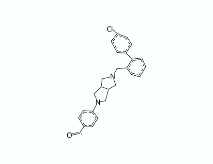 O=[C]c1ccc(N2CC3CN(Cc4ccccc4-c4ccc(Cl)cc4)CC3C2)cc1